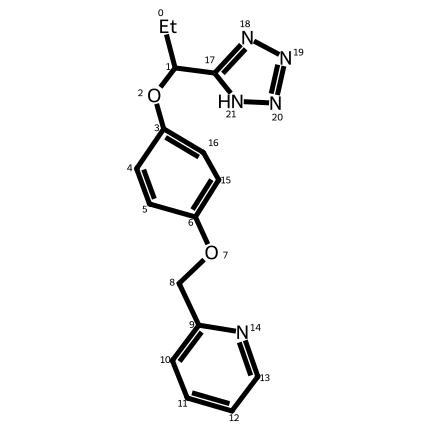 CCC(Oc1ccc(OCc2ccccn2)cc1)c1nnn[nH]1